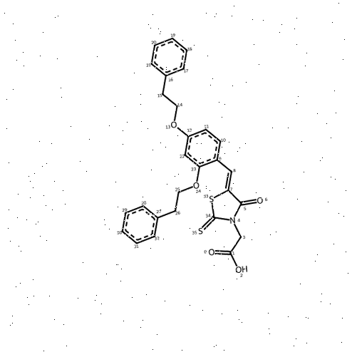 O=C(O)CN1C(=O)C(=Cc2ccc(OCCc3ccccc3)cc2OCCc2ccccc2)SC1=S